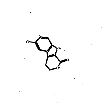 S=C1OCCc2c1[nH]c1ccc(Cl)cc21